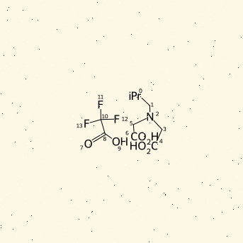 CC(C)CN(CC(=O)O)CC(=O)O.O=C(O)C(F)(F)F